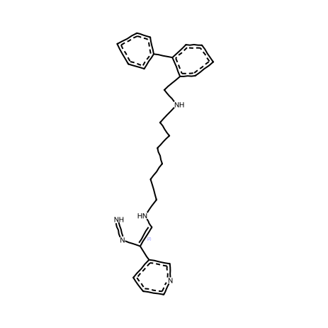 N=N/C(=C\NCCCCCCNCc1ccccc1-c1ccccc1)c1cccnc1